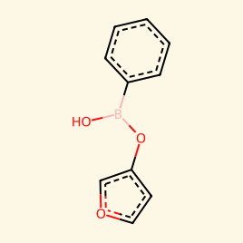 OB(Oc1ccoc1)c1ccccc1